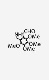 COc1c(CN)c(CC=O)c(OC)c(OC)c1OC